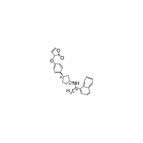 C[C@@H](N[C@H]1CC[C@@H](c2ccc(OC3C=COC3=O)cc2)C1)c1cccc2ccccc12